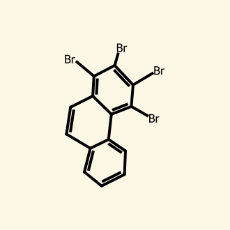 Brc1c(Br)c(Br)c2c(ccc3ccccc32)c1Br